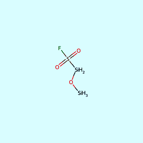 O=S(=O)(F)[SiH2]O[SiH3]